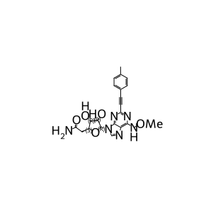 CONc1nc(C#Cc2ccc(C)cc2)nc2c1ncn2[C@@H]1O[C@@H](CC(N)=O)[C@H](O)[C@H]1O